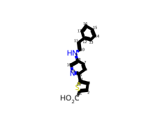 O=C(O)c1ccc(-c2ccc(NC=Cc3ccccc3)cn2)s1